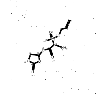 C=CCOP(=O)(F)N(N)C(=O)OC1COC(=O)O1